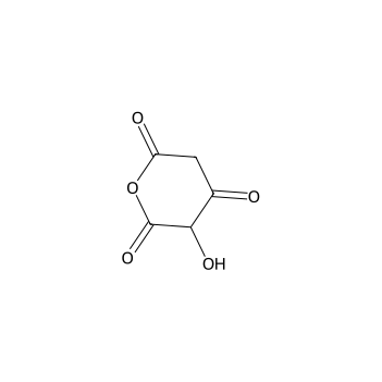 O=C1CC(=O)C(O)C(=O)O1